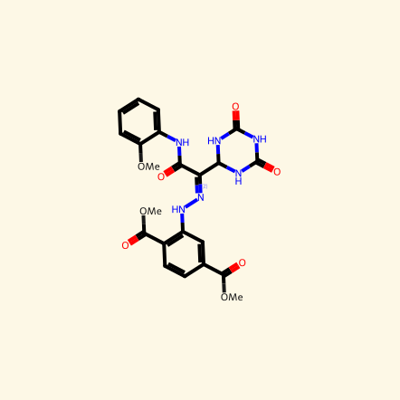 COC(=O)c1ccc(C(=O)OC)c(N/N=C(\C(=O)Nc2ccccc2OC)C2NC(=O)NC(=O)N2)c1